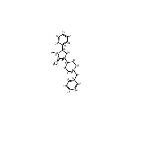 CN1C(=O)N(C2CCN(Cc3ccccc3)CC2)CC1c1ccccc1